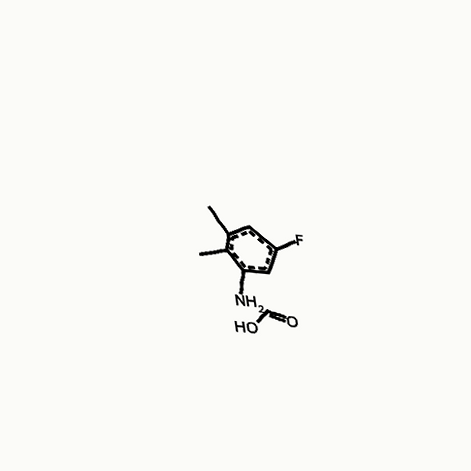 Cc1cc(F)cc(N)c1C.O=CO